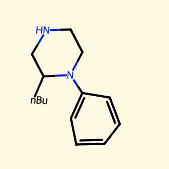 CCCCC1CNCCN1c1ccccc1